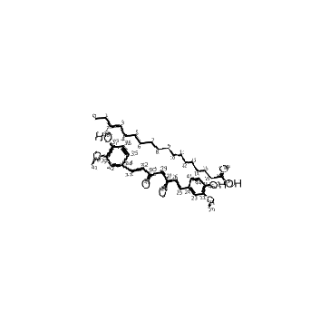 CCCCCCCCCCCCCCCCCC(=O)O.COc1cc(/C=C/C(=O)CC(=O)/C=C/c2ccc(O)c(OC)c2)ccc1O